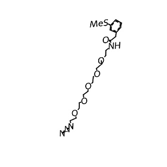 CSc1cccc(CC(=O)NCCOCCOCCOCCOCCOCCN=[N+]=[N-])c1